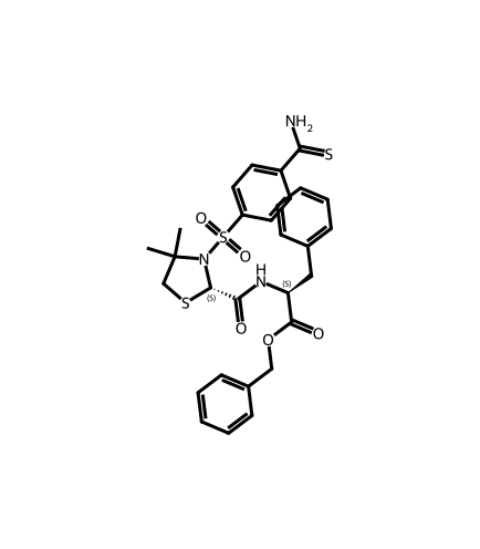 CC1(C)CS[C@@H](C(=O)N[C@@H](Cc2ccccc2)C(=O)OCc2ccccc2)N1S(=O)(=O)c1ccc(C(N)=S)cc1